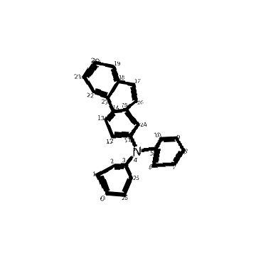 c1ccc(N(c2ccccc2)c2ccc3c(ccc4ccccc43)c2)cc1